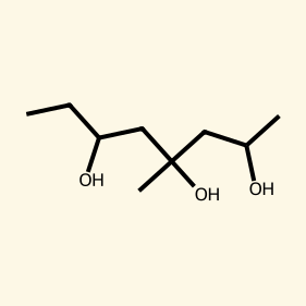 CCC(O)CC(C)(O)CC(C)O